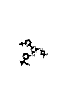 CC(F)(F)c1cccc(-c2nc(Nc3ccnc(C4(C#N)CC4)c3)nc(NC3CC(F)(F)C3)n2)n1